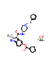 CCCCO.Cc1[nH]c2ccc(OC(=O)c3ccccc3)cc2c1C(=O)NC1CCN(CCc2ccccc2)CC1.Cl